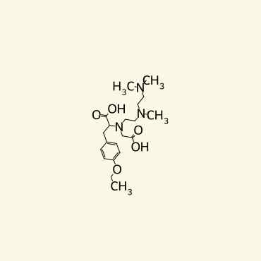 CCOc1ccc(CC(C(=O)O)N(CCN(C)CCN(C)C)CC(=O)O)cc1